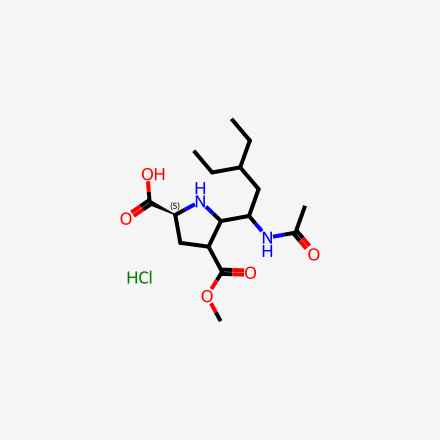 CCC(CC)CC(NC(C)=O)C1N[C@H](C(=O)O)CC1C(=O)OC.Cl